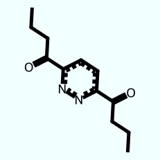 CCCC(=O)c1ccc(C(=O)CCC)nn1